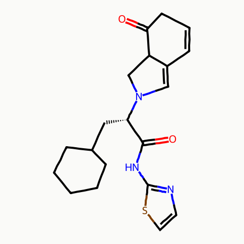 O=C1CC=CC2=CN([C@@H](CC3CCCCC3)C(=O)Nc3nccs3)CC12